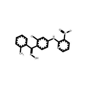 Cc1ccccc1C(=NO)c1ccc(Nc2ncccc2[N+](=O)[O-])cc1Cl